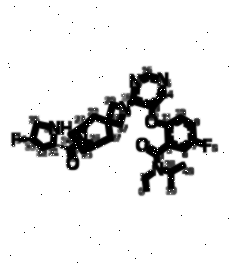 CCN(C(=O)c1cc(F)ccc1Oc1cncnc1N1CC2(CC3CCC(C2)N3C(=O)[C@@H]2C[C@@H](F)CN2)C1)C(C)C